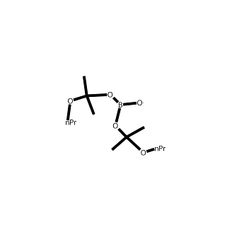 CCCOC(C)(C)OB([O])OC(C)(C)OCCC